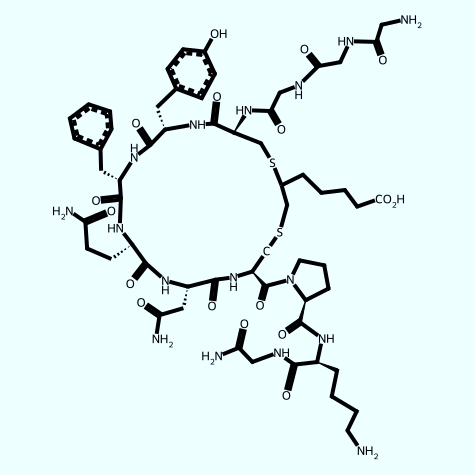 NCCCC[C@H](NC(=O)[C@@H]1CCCN1C(=O)[C@@H]1CSCC(CCCCC(=O)O)SC[C@H](NC(=O)CNC(=O)CNC(=O)CN)C(=O)N[C@@H](Cc2ccc(O)cc2)C(=O)N[C@@H](Cc2ccccc2)C(=O)N[C@@H](CCC(N)=O)C(=O)N[C@@H](CC(N)=O)C(=O)N1)C(=O)NCC(N)=O